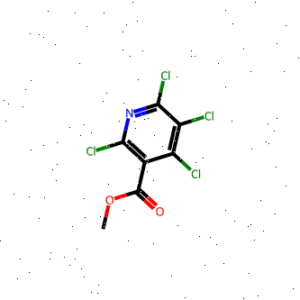 COC(=O)c1c(Cl)nc(Cl)c(Cl)c1Cl